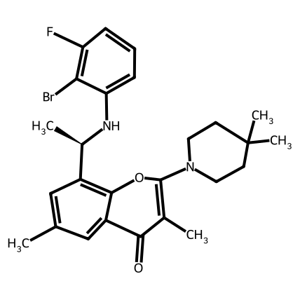 Cc1cc([C@@H](C)Nc2cccc(F)c2Br)c2oc(N3CCC(C)(C)CC3)c(C)c(=O)c2c1